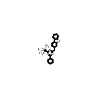 CC(C)(C)c1nc(Cc2ccc3c(c2)oc2ccccc23)nc(-c2ccccc2)n1